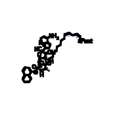 CCCCC/C=C\C/C=C\CCCCCCCCOC(=O)[C@H](C)NP(=O)(OC[C@H]1O[C@@](C#N)(c2ccc3c(N)ccnn23)[C@H](O)[C@@H]1O)Oc1cccc2ccccc12